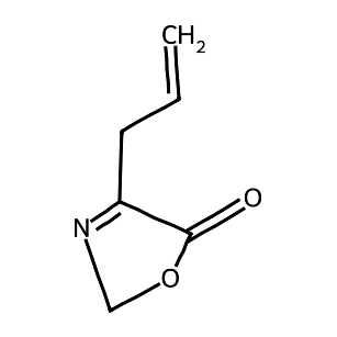 C=CCC1=NCOC1=O